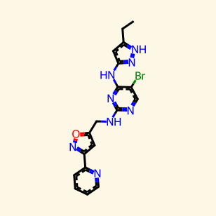 CCc1cc(Nc2nc(NCc3cc(-c4ccccn4)no3)ncc2Br)n[nH]1